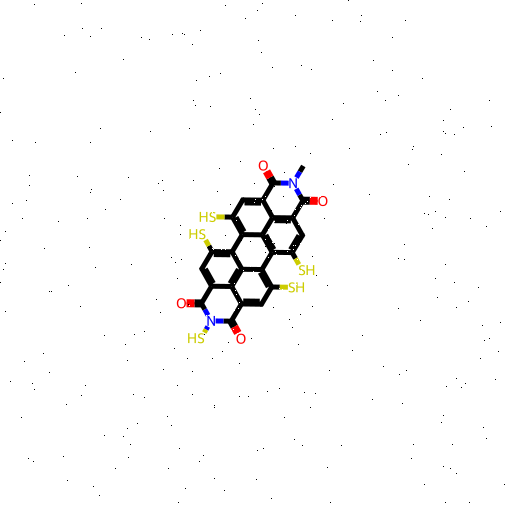 CN1C(=O)c2cc(S)c3c4c(S)cc5c6c(cc(S)c(c7c(S)cc(c2c37)C1=O)c64)C(=O)N(S)C5=O